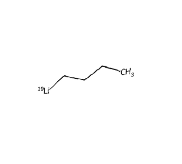 [19Li][CH2]CCC